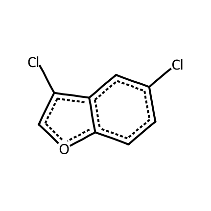 Clc1ccc2occ(Cl)c2c1